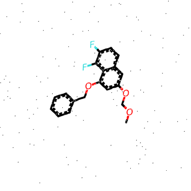 COCOc1cc(OCc2ccccc2)c2c(F)c(F)ccc2c1